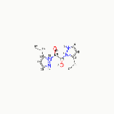 CCc1ccnn1C(=O)C(=O)n1nccc1CC